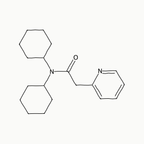 O=C(Cc1ccccn1)N(C1CCCCC1)C1CCCCC1